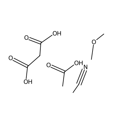 CC#N.CC(=O)O.COC.O=C(O)CC(=O)O